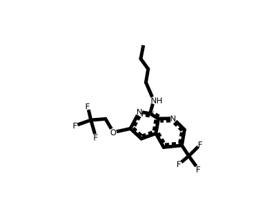 CCCCNc1nc(OCC(F)(F)F)cc2cc(C(F)(F)F)cnc12